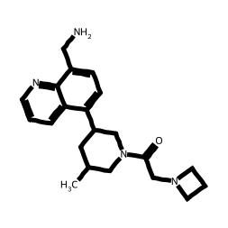 CC1CC(c2ccc(CN)c3ncccc23)CN(C(=O)CN2CCC2)C1